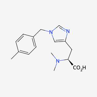 Cc1ccc(Cn2cnc(C[C@@H](C(=O)O)N(C)C)c2)cc1